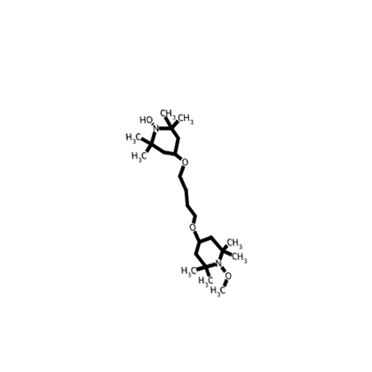 CON1C(C)(C)CC(OCCCCOC2CC(C)(C)N(O)C(C)(C)C2)CC1(C)C